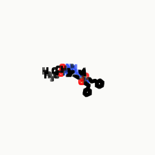 CC(C)(C)OC(=O)n1ccc2c(N3CCN(S(=O)(=O)N(CCCc4ccccc4)CCc4ccccc4)C4(CC4)C3)ncnc21